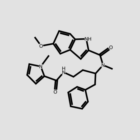 COc1ccc2[nH]c(C(=O)N(C)C(CCNC(=O)c3cccn3C)Cc3ccccc3)cc2c1